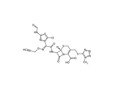 C#CCON=C(C(=O)NC1C(=O)N2C(C(=O)O)=C(CSc3nnnn3C)CS[C@@H]12)c1nc(NC=O)sc1Cl